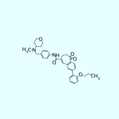 CCCOc1ccccc1-c1ccc2c(c1)C=C(C(=O)Nc1ccc(CN(C)C3CCOCC3)cc1)CCS2(=O)=O